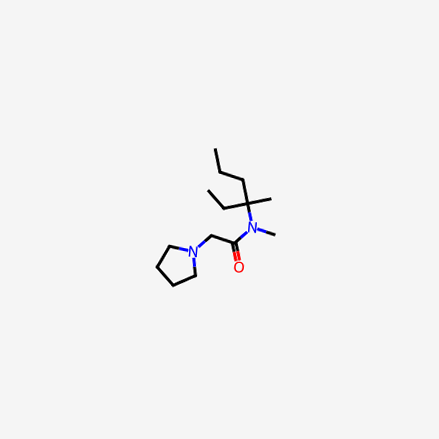 CCCC(C)(CC)N(C)C(=O)CN1CCCC1